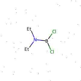 CCN(CC)B(Cl)Cl